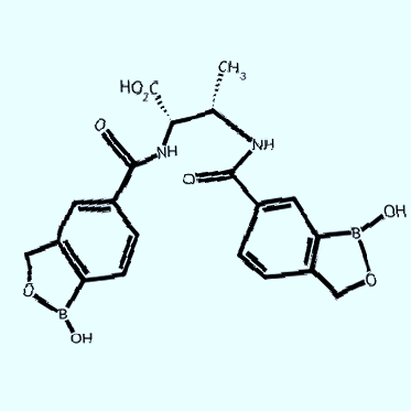 C[C@H](NC(=O)c1ccc2c(c1)B(O)OC2)[C@H](NC(=O)c1ccc2c(c1)COB2O)C(=O)O